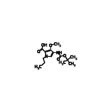 CCCn1cc(NC(=O)OC(C)(C)C)c(OC)c1C(=O)O